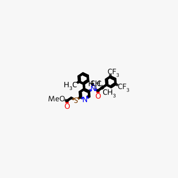 COC(=O)CSc1cc(-c2ccccc2C)c(N(C)C(=O)C(C)(C)c2cc(C(F)(F)F)cc(C(F)(F)F)c2)cn1